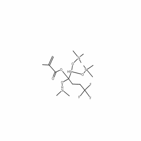 C=C(C)C(=O)OC(CCC(F)(F)F)(O[SiH](C)C)[SiH](O[Si](C)(C)C)O[Si](C)(C)C